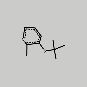 Cc1ncccc1SC(C)(C)C